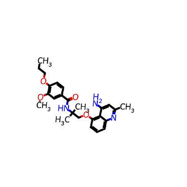 CCCOc1ccc(C(=O)NC(C)(C)COc2cccc3nc(C)cc(N)c23)cc1OC